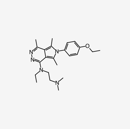 CCOc1ccc(-n2c(C)c3c(C)nnc(N(CC)CCN(C)C)c3c2C)cc1